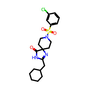 O=C1NC(CC2CCCCC2)=NC12CCN(S(=O)(=O)c1cccc(Cl)c1)CC2